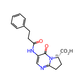 O=C(CCc1ccccc1)Nc1cnc2n(c1=O)[C@H](C(=O)O)CC2